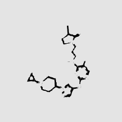 CC1CCN(CCCNc2nc(Nc3cnn(C4CCN(C5CC5)CC4)c3)ncc2Cl)C1=O